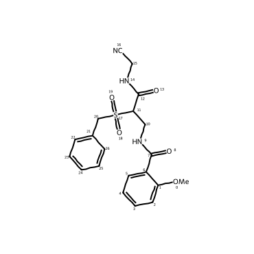 COc1ccccc1C(=O)NCC(C(=O)NCC#N)S(=O)(=O)Cc1ccccc1